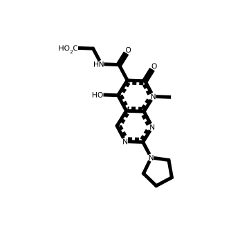 Cn1c(=O)c(C(=O)NCC(=O)O)c(O)c2cnc(N3CCCC3)nc21